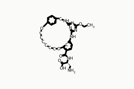 CCOc1nc2nc(n1)Nc1ccc(C(=O)N[C@H](CN)C(=O)O)c(c1)OCCCCCCOc1ccc(cc1)CN2